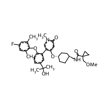 COCC1(C(=O)N[C@H]2CC[C@H](Oc3cc(=O)n(C)cc3-c3cc(C(C)(C)O)ccc3Oc3c(C)cc(F)cc3C)CC2)CC1